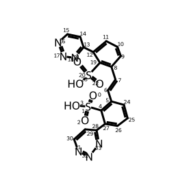 O=S(=O)(O)c1c(/C=C/c2cccc(-c3ccnnn3)c2S(=O)(=O)O)cccc1-c1ccnnn1